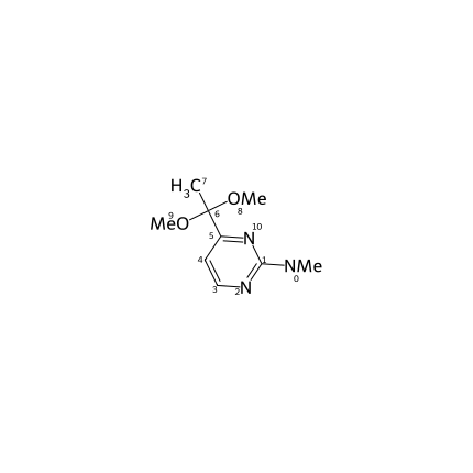 CNc1nccc(C(C)(OC)OC)n1